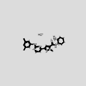 Cc1cc(C)cc(Nc2nccc(-c3cc(C(=O)N[C@@H]4CCCC[C@H]4N)n(C)n3)n2)c1.Cl